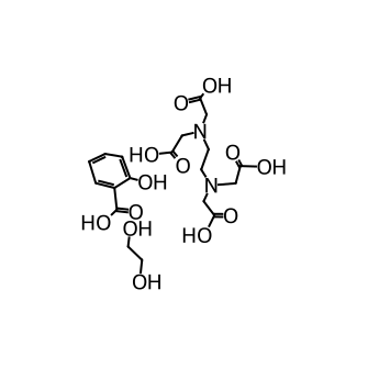 O=C(O)CN(CCN(CC(=O)O)CC(=O)O)CC(=O)O.O=C(O)c1ccccc1O.OCCO